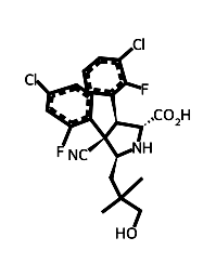 CC(C)(CO)C[C@@H]1N[C@@H](C(=O)O)[C@H](c2cccc(Cl)c2F)[C@@]1(C#N)c1ccc(Cl)cc1F